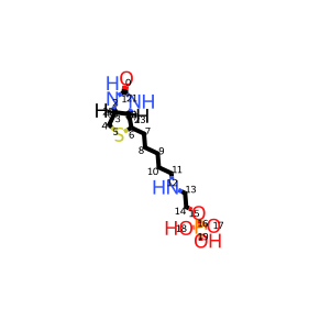 O=C1N[C@H]2CSC(CCCCCNCCOP(=O)(O)O)[C@H]2N1